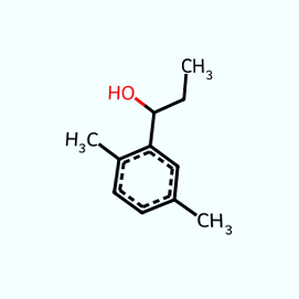 CCC(O)c1cc(C)ccc1C